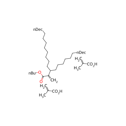 C=C(C(=O)OCCCC)C(CCCCCCCCCCCCCCCC)CCCCCCCCCCCCCCCCCC.C=C(C)C(=O)O.C=C(C)C(=O)O